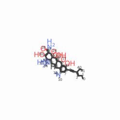 CC/C=C(/C#Cc1cc(N(C)C)c2c(c1O)C(=O)C1=C(O)[C@]3(O)C(=O)C(C(N)=O)=C(O)[C@@H](N(C)C)[C@]3(N)C[C@@H]1C2)CC